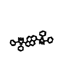 c1ccc(-c2nnc(-c3ccc4ccc5c(-c6nnc(-c7ccccc7)n6-c6ccccc6)ccc6ccc3c4c65)n2-c2ccccc2)cc1